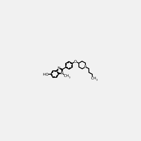 CCCCN1CCC(Oc2ccc(-c3nc4cc(O)ccc4n3C)cc2)CC1